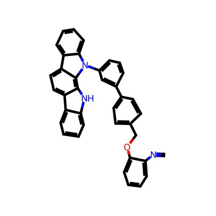 C=Nc1ccccc1OCc1ccc(-c2cccc(-n3c4ccccc4c4ccc5c6ccccc6[nH]c5c43)c2)cc1